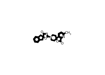 Cc1ccc2c(n1)C(=O)OC21CCN(C2=NC(=O)C3(Cc4ccccc4C3)O2)CC1